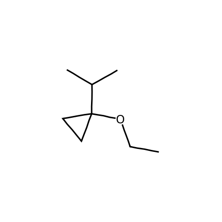 CCOC1(C(C)C)CC1